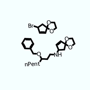 BrC1C=CC2(C1)OCCO2.CCCCCC(CCNC1C=CC2(C1)OCCO2)OCc1ccccc1